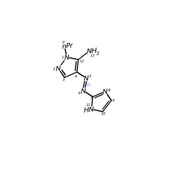 CCCn1ncc(/N=N/c2ncc[nH]2)c1N